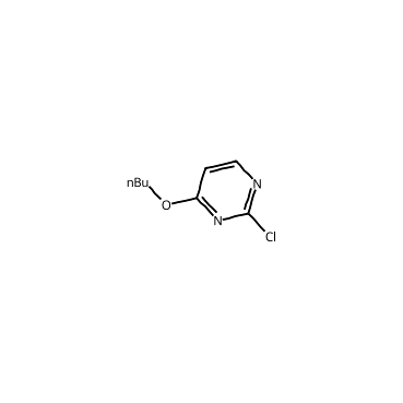 CCCCOc1ccnc(Cl)n1